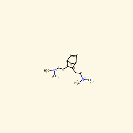 CN(C)CCC1C2C=CC(C2)C1CCN(C)C